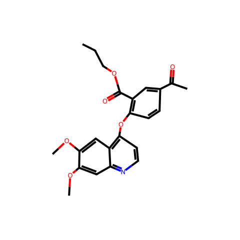 CCCOC(=O)c1cc(C(C)=O)ccc1Oc1ccnc2cc(OC)c(OC)cc12